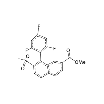 COC(=O)c1ccc2ccc(S(C)(=O)=O)c(-c3c(F)cc(F)cc3F)c2c1